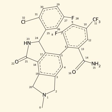 CN1Cc2cc(-c3c(F)cc(C(F)(F)F)cc3C(N)=O)c3c(c2C1)C(=O)NC3c1cc(F)ccc1Cl